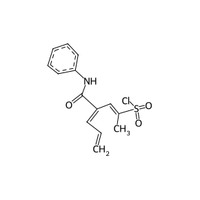 C=C/C=C(\C=C(/C)S(=O)(=O)Cl)C(=O)Nc1ccccc1